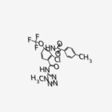 Cc1ccc(S(=O)(=O)Nc2c(OC(F)(F)F)ccc(C(=O)Nc3nnnn3C)c2Cl)cc1